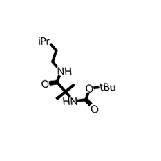 CC(C)CCNC(=O)C(C)(C)NC(=O)OC(C)(C)C